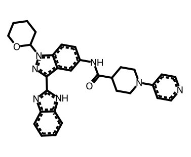 O=C(Nc1ccc2c(c1)c(-c1nc3ccccc3[nH]1)nn2C1CCCCO1)C1CCN(c2ccncc2)CC1